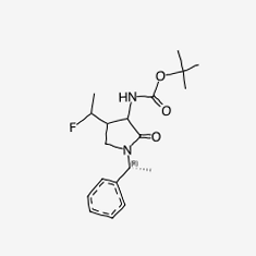 CC(F)C1CN([C@H](C)c2ccccc2)C(=O)C1NC(=O)OC(C)(C)C